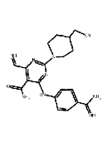 N#CCC1CCN(c2nc(C=N)c(C(N)=O)c(Nc3ccc(C(=N)N)cc3)n2)CC1